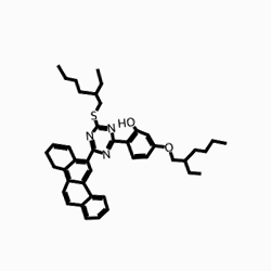 CCCCC(CC)COc1ccc(-c2nc(SCC(CC)CCCC)nc(-c3cc4c(ccc5ccccc54)c4c3C=CCC4)n2)c(O)c1